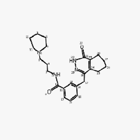 O=C(NCCCN1CCCCC1)c1cccc(Cc2n[nH]c(=O)c3c2CCCC3)c1